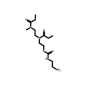 CCC(=O)N(C)CCN(CCOC(=O)NCCN)C(=O)CC